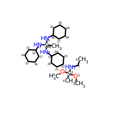 CCN[Si](C)(OC)OC.C[Si](NC1CCCCC1)(NC1CCCCC1)NC1CCCCC1